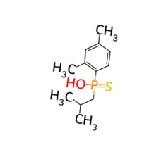 Cc1ccc(P(O)(=S)CC(C)C)c(C)c1